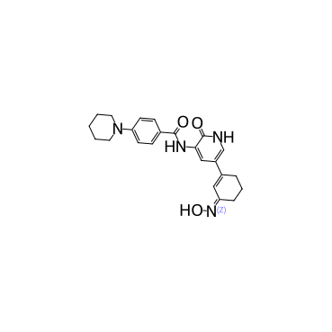 O=C(Nc1cc(C2=C/C(=N\O)CCC2)c[nH]c1=O)c1ccc(N2CCCCC2)cc1